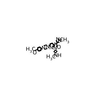 CNC1CC(n2c(=O)n(-c3cnn(C)c3)c3ccc(N4CCN(c5ccc(C(C)=O)cc5)CC4)nc32)C1